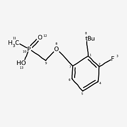 CC(C)(C)c1c(F)cccc1OCP(C)(=O)O